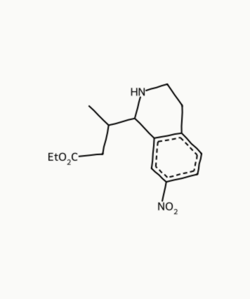 CCOC(=O)CC(C)C1NCCc2ccc([N+](=O)[O-])cc21